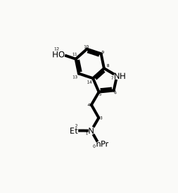 CCCN(CC)CCc1c[nH]c2ccc(O)cc12